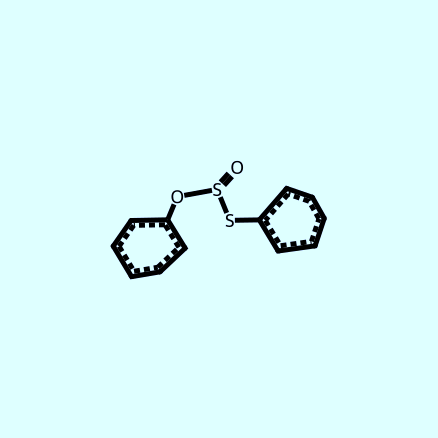 O=S(Oc1ccccc1)Sc1ccccc1